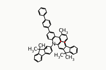 Cc1ccccc1-c1cc(-c2ccc(-c3ccccc3)cc2)ccc1N(c1ccc2c(c1)C(C)(C)c1ccccc1-2)c1ccc2c(c1)C(C)(C)c1ccccc1-2